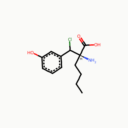 CCCC[C@@](N)(C(=O)O)C(Cl)c1cccc(O)c1